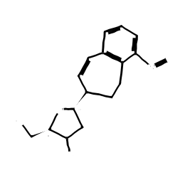 O=Nc1cccc2c1CCC([C@H]1CC(O)[C@@H](CO)O1)C=C2